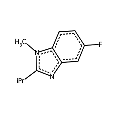 CC(C)c1nc2cc(F)ccc2n1C